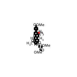 C=C(C)[C@@H]1CC[C@]2(C(=O)NCCN(CC(=O)OC)CC(=O)OC)CC[C@]3(C)C(CC[C@@H]4[C@@]5(C)CC=C(c6ccc(C(=O)OC)cc6)C(C)(C)[C@@H]5CC[C@]43C)[C@@H]12